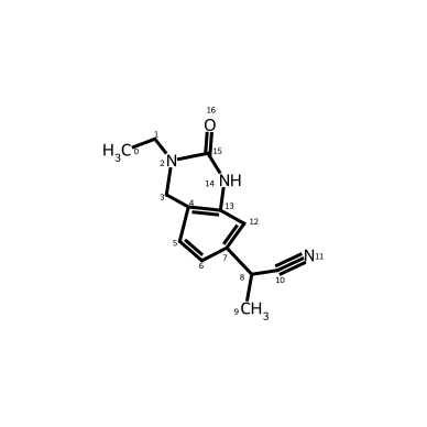 CCN1Cc2ccc(C(C)C#N)cc2NC1=O